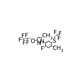 Cc1cc(F)c(-n2nc(OCC(F)(F)C(F)(F)F)cc2C)cc1SCC(F)(F)F